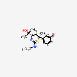 CC(C)(O)[C@@H]1C[C@@](C)(c2cccc(Br)c2)SC(NC(=O)O)=N1